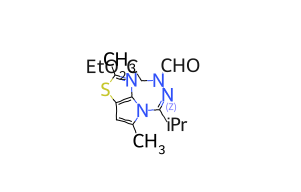 CCOC(=O)CN(C=O)/N=C(/C(C)C)n1c(C)cc2sc(C)nc21